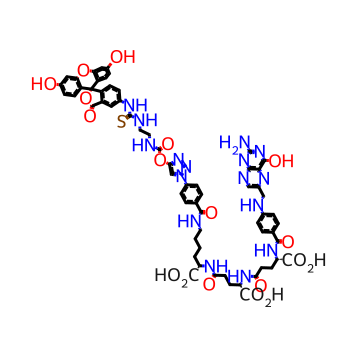 Nc1nc(O)c2nc(CNc3ccc(C(=O)N[C@@H](CCC(=O)N[C@@H](CCC(=O)N[C@@H](CCCCNC(=O)c4ccc(-n5cc(OC(=O)NCCNC(=S)Nc6ccc7c(c6)C(=O)OC76c7ccc(O)cc7Oc7cc(O)ccc76)nn5)cc4)C(=O)O)C(=O)O)C(=O)O)cc3)cnc2n1